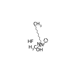 CCCCCCCCCCCc1nc(C(C)O)cn1Cc1ccccc1.F